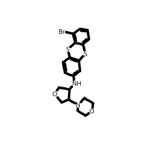 Brc1cccc2c1Sc1ccc(NC3COCC3N3CCOCC3)cc1S2